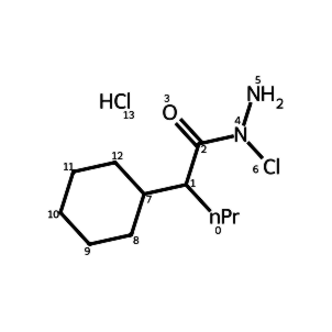 CCCC(C(=O)N(N)Cl)C1CCCCC1.Cl